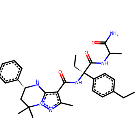 CCc1ccc([C@@](CC)(NC(=O)c2c(C)nn3c2N[C@@H](c2ccccc2)CC3(C)C)C(=O)NC(C)C(N)=O)cc1